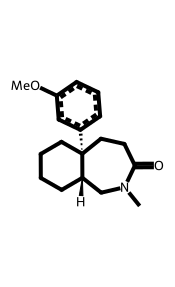 COc1cccc([C@@]23CCCC[C@H]2CN(C)C(=O)CC3)c1